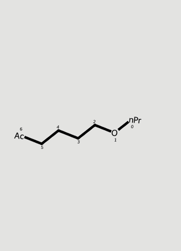 CCCOCCCCC(C)=O